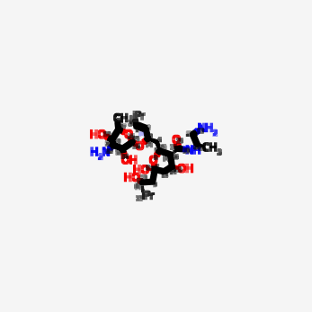 CC(C)/C=C/[C@@H](C[C@@H]1O[C@](O)(C[C@@H](O)C(C)C)C[C@H](O)[C@H]1C(=O)N[C@@H](C)CN)OC1OC(C)C(O)C(N)C1O